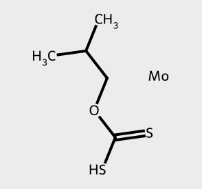 CC(C)COC(=S)S.[Mo]